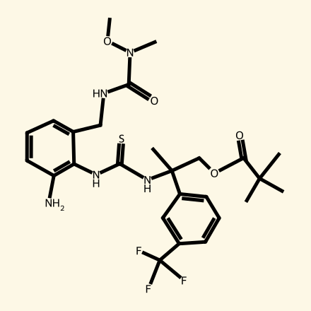 CON(C)C(=O)NCc1cccc(N)c1NC(=S)NC(C)(COC(=O)C(C)(C)C)c1cccc(C(F)(F)F)c1